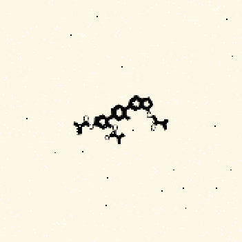 C=C(C)C(=O)COC1CCc2ccc(-c3ccc(-c4ccc(OC(=O)C(=C)C)cc4OC(=O)C(=C)C)cc3C)cc21